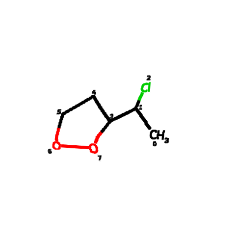 CC(Cl)C1CCOO1